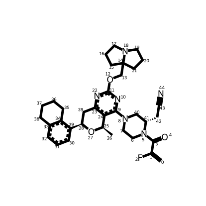 C=C(F)C(=O)N1CCN(c2nc(OCC34CCCN3CCC4)nc3c2[C@@H](C)O[C@@H](c2cccc4c2CCCC4)C3)C[C@@H]1CC#N